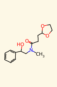 CN(CC(O)c1ccccc1)C(=O)CCC1OCCO1